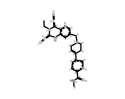 CCN1C(=C=O)Nc2cc(CN3CC=C(c4ccc(C(=O)NC)nc4)CC3)cnc2C1=C=O